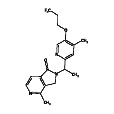 Cc1cc(C(C)N2Cc3c(ccnc3C)C2=O)ncc1OCCC(F)(F)F